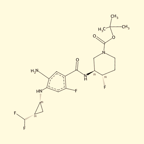 CC(C)(C)OC(=O)N1CC[C@H](F)[C@@H](NC(=O)c2cc(N)c(N[C@@H]3C[C@@H]3C(F)F)cc2F)C1